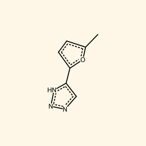 Cc1ccc(-c2cnn[nH]2)o1